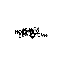 COC(=O)c1cccc2c1c(C)nn2-c1ccc(C#N)c(Br)c1